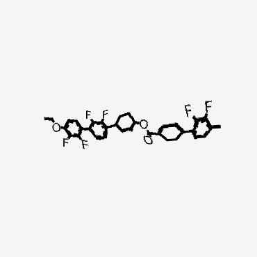 CCOc1ccc(-c2ccc(C3CCC(OC(=O)C4CCC(c5ccc(C)c(F)c5F)CC4)CC3)c(F)c2F)c(F)c1F